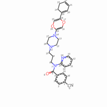 N#Cc1ccc(C(=O)N(CCCN2CCN(C3=COC(C4=CC=CCC4)=CO3)CC2)c2ccccn2)cc1